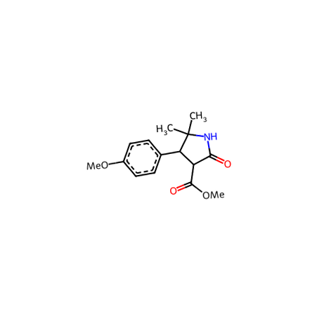 COC(=O)C1C(=O)NC(C)(C)C1c1ccc(OC)cc1